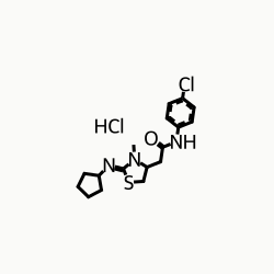 CN1C(=NC2CCCC2)SCC1CC(=O)Nc1ccc(Cl)cc1.Cl